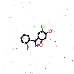 [O]c1cc2onc(-c3ccccc3F)c2cc1Cl